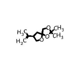 C=C(C)C1COC2(COC(C)(C)O2)C1